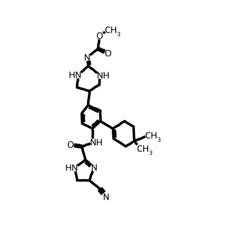 COC(=O)N=C1NCC(c2ccc(NC(=O)C3=NC(C#N)CN3)c(C3=CCC(C)(C)CC3)c2)CN1